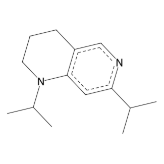 CC(C)c1cc2c(cn1)CCCN2C(C)C